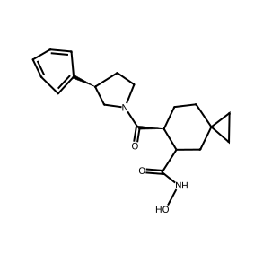 O=C(NO)C1CC2(CC[C@@H]1C(=O)N1CC[C@H](c3ccccc3)C1)CC2